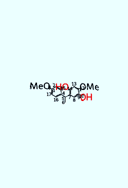 COc1ccc(C(C)c2cc(O)c(OC)cc2O)cc1